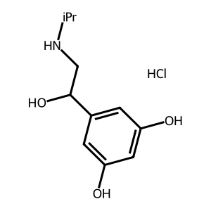 CC(C)NCC(O)c1cc(O)cc(O)c1.Cl